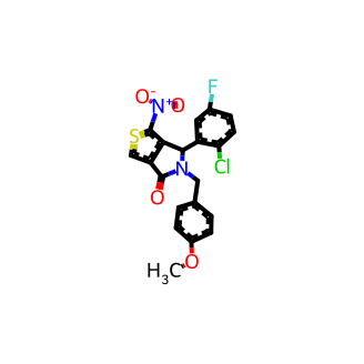 COc1ccc(CN2C(=O)c3csc([N+](=O)[O-])c3C2c2cc(F)ccc2Cl)cc1